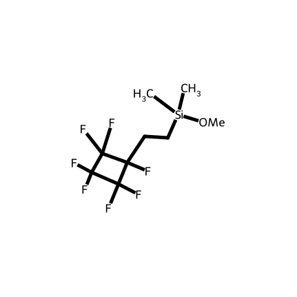 CO[Si](C)(C)CCC1(F)C(F)(F)C(F)(F)C1(F)F